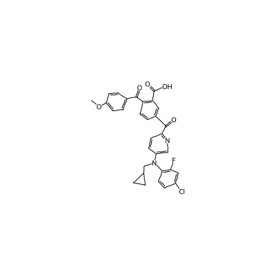 COc1ccc(C(=O)c2ccc(C(=O)c3ccc(N(CC4CC4)c4ccc(Cl)cc4F)cn3)cc2C(=O)O)cc1